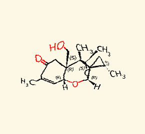 CC1=C[C@H]2O[C@@H]3C[C@H](C)[C@@](C)(C34C[C@@H]4C)[C@@]2(CO)CC1=O